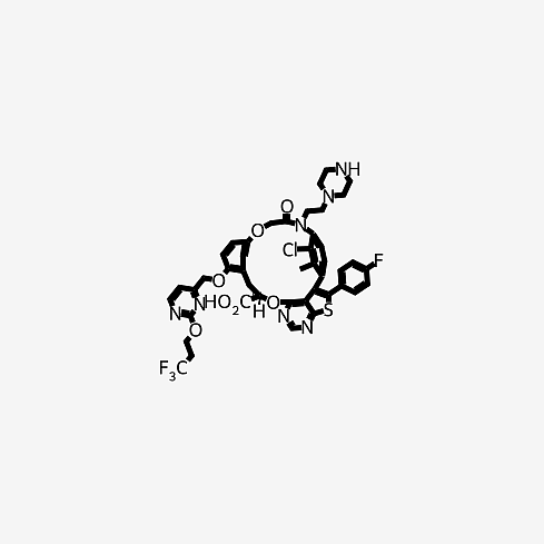 Cc1c2ccc(c1Cl)N(CCN1CCNCC1)C(=O)COc1ccc(OCc3ccnc(OCCC(F)(F)F)n3)c(c1)C[C@H](C(=O)O)Oc1ncnc3sc(-c4ccc(F)cc4)c-2c13